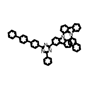 c1ccc(-c2ccc(-c3ccc(-c4nc(-c5ccccc5)nc(-c5ccc6c(c5)c5ccccc5n6-c5cccc6c7ccccc7n(-c7ccc8ccccc8c7)c56)n4)cc3)cc2)cc1